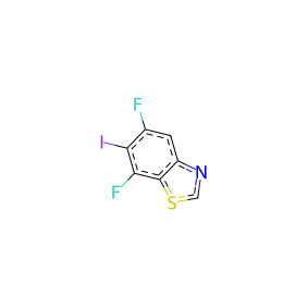 Fc1cc2ncsc2c(F)c1I